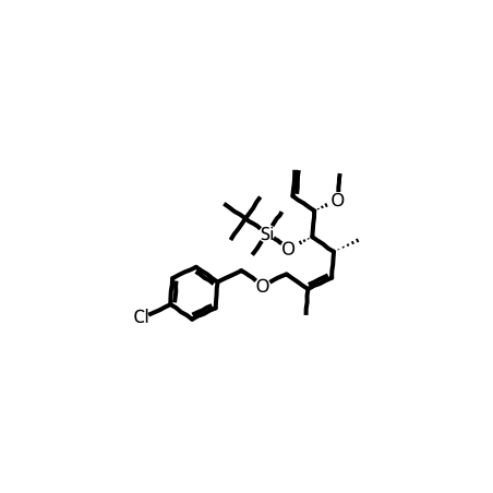 C=C[C@H](OC)[C@@H](O[Si](C)(C)C(C)(C)C)[C@H](C)/C=C(/C)COCc1ccc(Cl)cc1